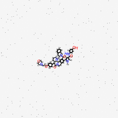 Cc1c(C(=O)Nc2ccc(O)cc2)cc(-c2cc3c(cc2C(=O)N2Cc4ccccc4C[C@H]2CN2CCCCC2)CN(C(=O)Cc2ccc(OCCN4CCOCC4)cc2)CC3)n1C